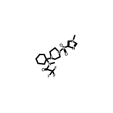 CN(C(=O)C(F)(F)F)C1(N2CCN(S(=O)(=O)c3cn(C)cn3)CC2)CCCCC1